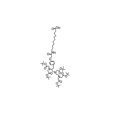 CC(C)(C)OC(=O)CN(CCN(CC(=O)OC(C)(C)C)CC(Cc1ccc(OCC(=O)NCCCCCCCCCCC(=O)O)cc1)N(CC(=O)OC(C)(C)C)CC(=O)OC(C)(C)C)CC(=O)OC(C)(C)C